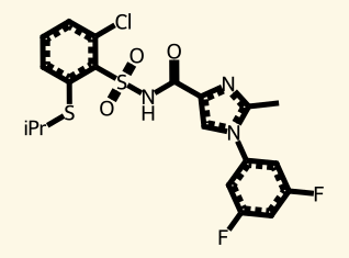 Cc1nc(C(=O)NS(=O)(=O)c2c(Cl)cccc2SC(C)C)cn1-c1cc(F)cc(F)c1